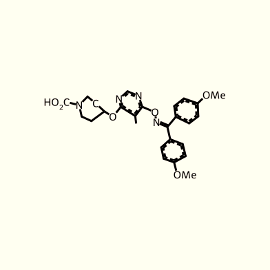 COc1ccc(C(=NOc2ncnc(OC3CCN(C(=O)O)CC3)c2C)c2ccc(OC)cc2)cc1